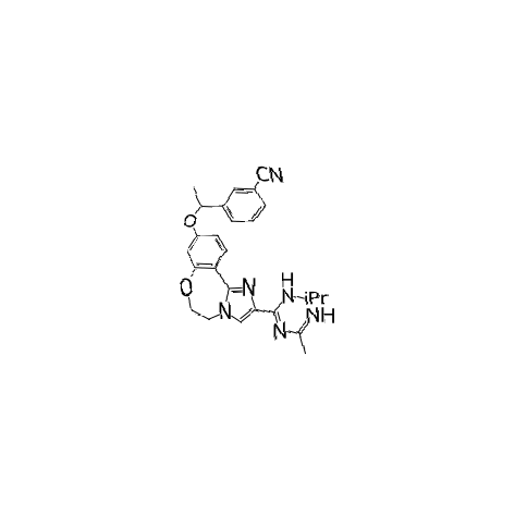 CC(=N)/N=C(\NC(C)C)c1cn2c(n1)-c1ccc(OC(C)c3cccc(C#N)c3)cc1OCC2